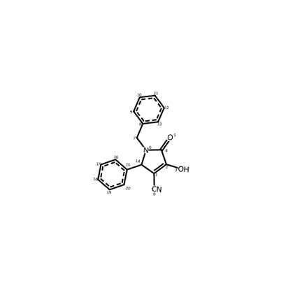 N#CC1=C(O)C(=O)N(Cc2ccccc2)C1c1ccccc1